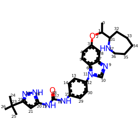 CC(Oc1ccc2c(c1)ncn2-c1ccc(NC(=O)Nc2cc(C(C)(C)C)n[nH]2)cc1)C1CCCCCN1